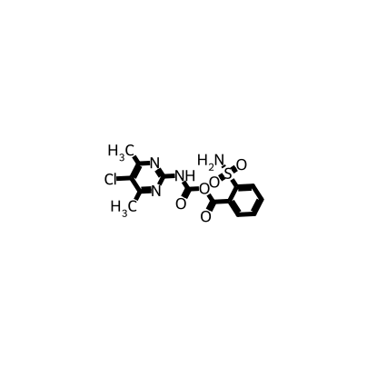 Cc1nc(NC(=O)OC(=O)c2ccccc2S(N)(=O)=O)nc(C)c1Cl